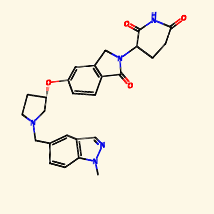 Cn1ncc2cc(CN3CC[C@H](Oc4ccc5c(c4)CN(C4CCC(=O)NC4=O)C5=O)C3)ccc21